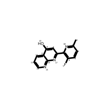 Cc1ccc(F)c(-c2cc(O)c3cccnc3n2)n1